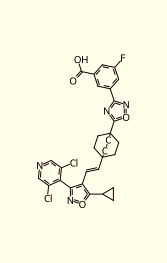 O=C(O)c1cc(F)cc(-c2noc(C34CCC(/C=C/c5c(-c6c(Cl)cncc6Cl)noc5C5CC5)(CC3)CC4)n2)c1